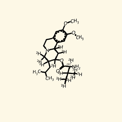 [2H]C1C2([2H])c3cc(OC)c(OC)cc3CCN2C([2H])([2H])C([2H])(CC(C)C)C1([2H])OC(=O)[C@@]([2H])(N)C([2H])(C([2H])([2H])[2H])C([2H])([2H])[2H]